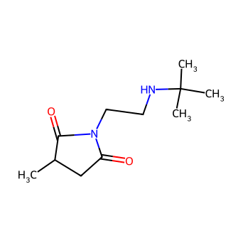 CC1CC(=O)N(CCNC(C)(C)C)C1=O